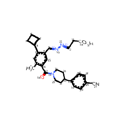 Cc1cc(C2CCC2)c(/C=N/N=C/CC(=O)O)cc1C(=O)N1CCC(c2ccc(C#N)cc2)CC1